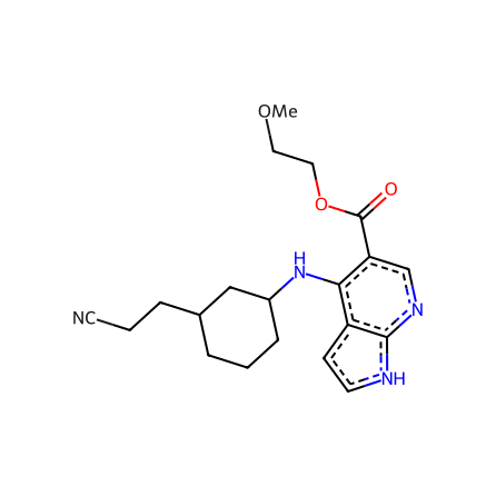 COCCOC(=O)c1cnc2[nH]ccc2c1NC1CCCC(CCC#N)C1